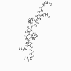 CCCCCCc1cc(-c2ccc(-c3ccc(-c4ccc(-c5cc(CCCCCC)c(C)s5)c5nsnc45)s3)c3nsnc23)sc1C